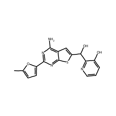 Cc1ccc(-c2nc(N)c3cc(C(O)c4ncccc4O)sc3n2)o1